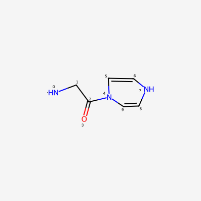 [NH]CC(=O)N1C=CNC=C1